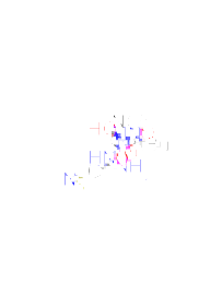 Cc1ncsc1-c1ccc([C@H](CN)NC(=O)[C@@H]2C[C@@H](O)CN2C(=O)[C@@H](NC(=O)C2(C#N)CC2)C(C)(C)C)cc1